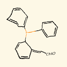 O=CC=C1C=CC=CC1P(c1ccccc1)c1ccccc1